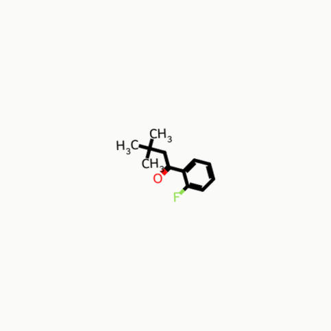 CC(C)(C)CC(=O)c1ccccc1F